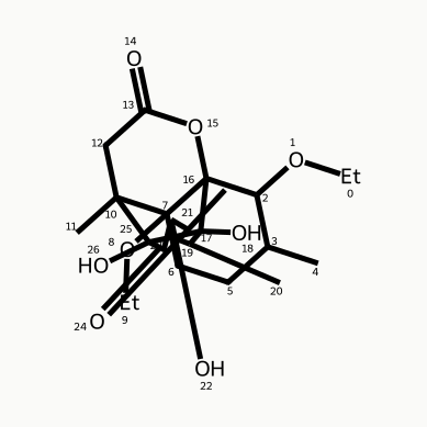 CCOC1C(C)CCC2(OCC)C3(C)CC(=O)OC12C1(O)C(C)=C(O)C(=O)C31O